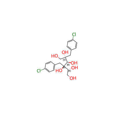 OC[C@@H](O)[C@](O)(Cc1ccc(Cl)cc1)[C@H](O)[C@@](O)(CO)Cc1ccc(Cl)cc1